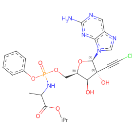 CC(C)OC(=O)C(C)NP(=O)(OC[C@H]1O[C@@H](n2cnc3cnc(N)nc32)[C@@](O)(C#CCl)C1O)Oc1ccccc1